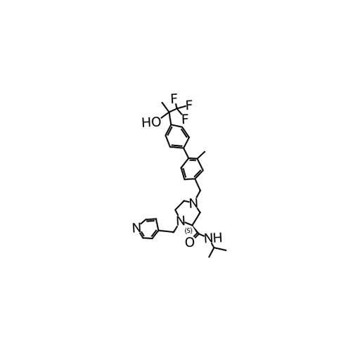 Cc1cc(CN2CCN(Cc3ccncc3)[C@H](C(=O)NC(C)C)C2)ccc1-c1ccc(C(C)(O)C(F)(F)F)cc1